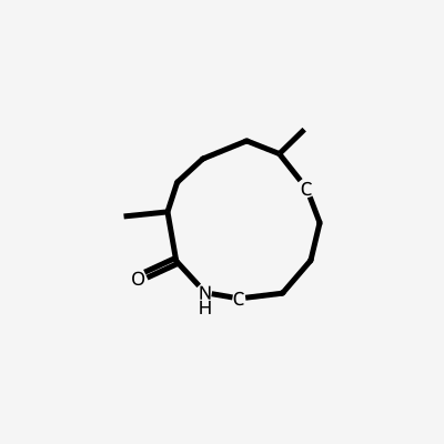 CC1CCCCCNC(=O)C(C)CCC1